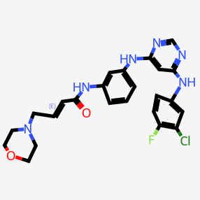 O=C(/C=C/CN1CCOCC1)Nc1cccc(Nc2cc(Nc3ccc(F)c(Cl)c3)ncn2)c1